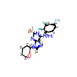 Fc1ccc(Nc2nc(Br)nc3c2ncn3C2CCCCO2)c(F)c1F